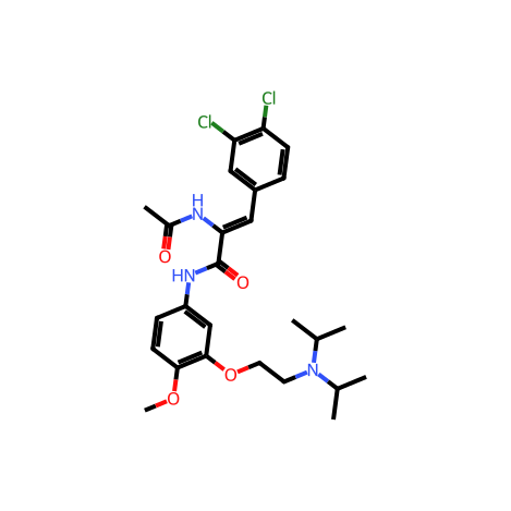 COc1ccc(NC(=O)C(=Cc2ccc(Cl)c(Cl)c2)NC(C)=O)cc1OCCN(C(C)C)C(C)C